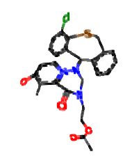 CC(=O)OCCN1CN(C2c3ccccc3CSc3c(Cl)cccc32)n2ccc(=O)c(C)c2C1=O